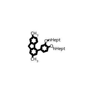 CCCCCCCOc1ccc(-c2cc(C)cc3c2-c2ccc(C)cc2C3)cc1OCCCCCCC